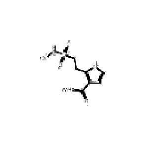 COC(=O)c1cc[nH]c1CCS(=O)(=O)NC(C)(C)C